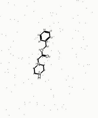 O=C(CN1CCNCC1)OCc1ccccc1